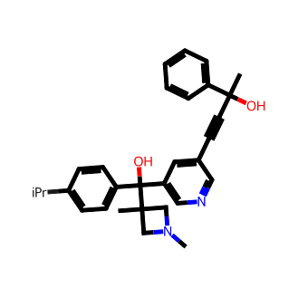 CC(C)c1ccc(C(O)(c2cncc(C#CC(C)(O)c3ccccc3)c2)C2(C)CN(C)C2)cc1